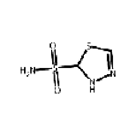 NS(=O)(=O)C1NN=CS1